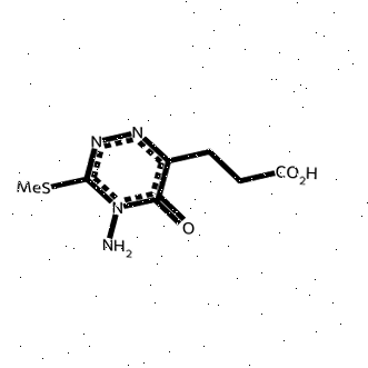 CSc1nnc(CCC(=O)O)c(=O)n1N